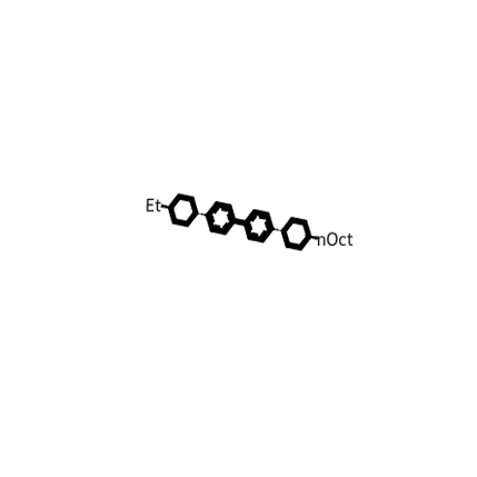 CCCCCCCC[C@H]1CC[C@H](c2ccc(-c3ccc([C@H]4CC[C@H](CC)CC4)cc3)cc2)CC1